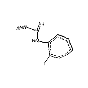 CNC(=N)Nc1ccccc1I